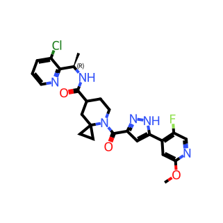 COc1cc(-c2cc(C(=O)N3CCC(C(=O)N[C@H](C)c4ncccc4Cl)CC34CC4)n[nH]2)c(F)cn1